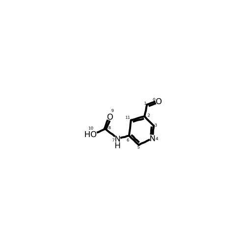 O=Cc1cncc(NC(=O)O)c1